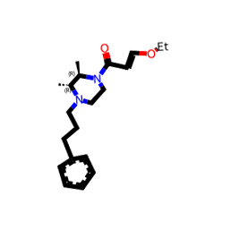 CCOC=CC(=O)N1CCN(CCCc2ccccc2)[C@H](C)[C@H]1C